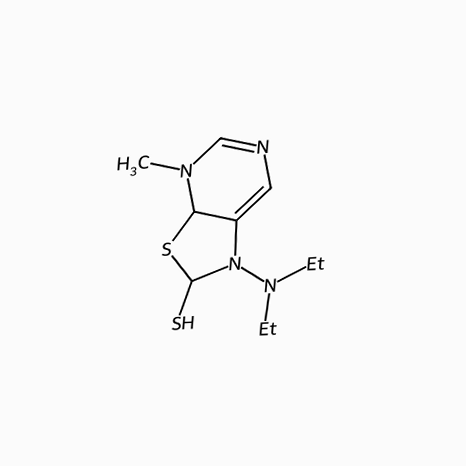 CCN(CC)N1C2=CN=CN(C)C2SC1S